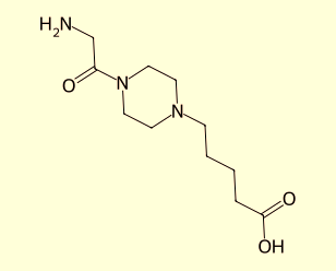 NCC(=O)N1CCN(CCCCC(=O)O)CC1